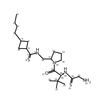 CCCCC1CC(C(=S)NCC2CCCN2C(=O)[C@@H](NC(=S)CN)C(C)(C)C)C1